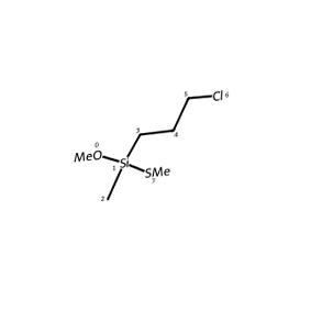 CO[Si](C)(CCCCl)SC